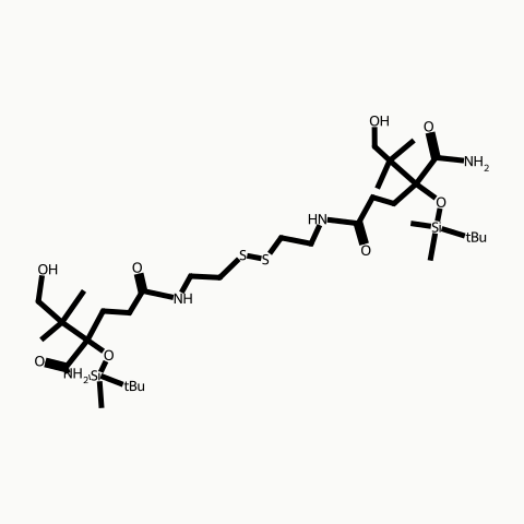 CC(C)(CO)C(CCC(=O)NCCSSCCNC(=O)CCC(O[Si](C)(C)C(C)(C)C)(C(N)=O)C(C)(C)CO)(O[Si](C)(C)C(C)(C)C)C(N)=O